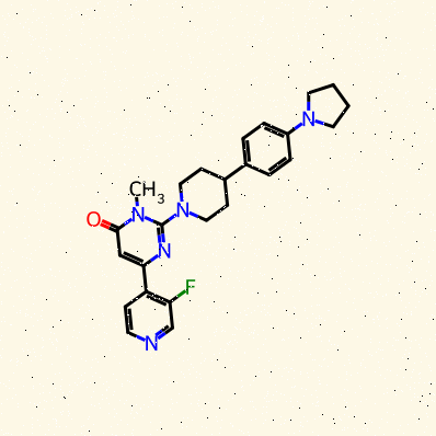 Cn1c(N2CCC(c3ccc(N4CCCC4)cc3)CC2)nc(-c2ccncc2F)cc1=O